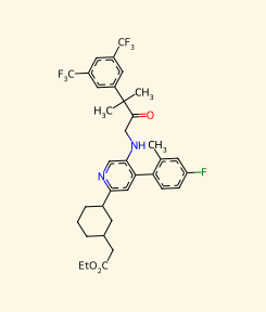 CCOC(=O)CC1CCCC(c2cc(-c3ccc(F)cc3C)c(NCC(=O)C(C)(C)c3cc(C(F)(F)F)cc(C(F)(F)F)c3)cn2)C1